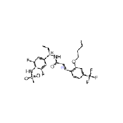 CCCCOc1cc(C(F)(F)F)ccc1/C=C/C(=O)N[C@H](CC)c1cc(F)c(NS(C)(=O)=O)c(F)c1